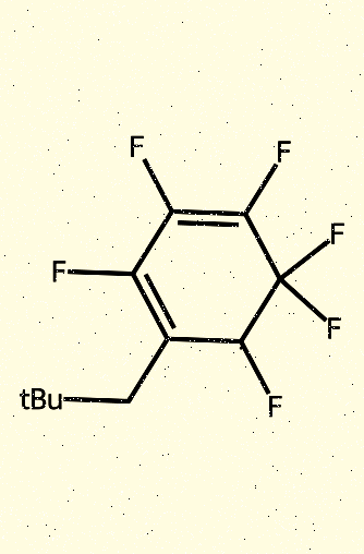 CC(C)(C)CC1=C(F)C(F)=C(F)C(F)(F)[C]1F